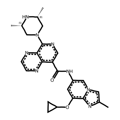 Cc1cn2cc(NC(=O)c3cnc(N4C[C@@H](C)N[C@@H](C)C4)c4nccnc34)cc(OC3CC3)c2n1